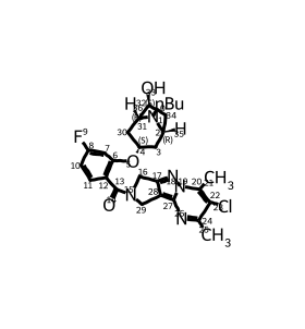 CCCCN1[C@H]2C[C@H](Oc3cc(F)ccc3C(=O)N3Cc4nn5c(C)c(Cl)c(C)nc5c4C3)C[C@@H]1[C@@H](O)C2